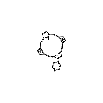 C1=Cc2cc3ccc(cc4nc(cc5ccc(cc1n2)[nH]5)C=C4)[nH]3.c1cnccn1